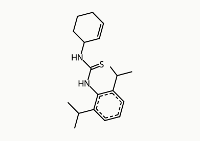 CC(C)c1cccc(C(C)C)c1NC(=S)NC1C=CCCC1